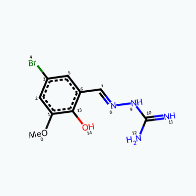 COc1cc(Br)cc(C=NNC(=N)N)c1O